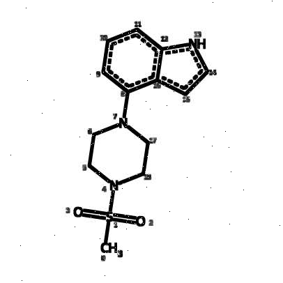 CS(=O)(=O)N1CCN(c2cccc3[nH]ccc23)CC1